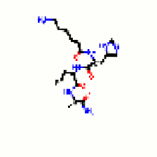 CC(C)CC(NC(=O)[C@H](Cc1cnc[nH]1)NC(=O)CCCCCN)C(=O)N[C@@H](C)C(N)=O